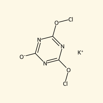 [K+].[O-]c1nc(OCl)nc(OCl)n1